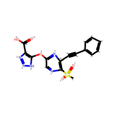 CS(=O)(=O)c1ncc(Oc2[nH]nnc2C(=O)O)nc1C#Cc1ccccc1